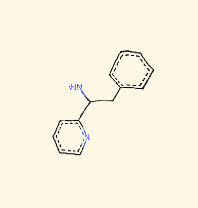 [NH]C(Cc1ccccc1)c1ccccn1